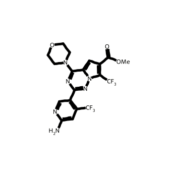 COC(=O)c1cc2c(N3CCOCC3)nc(-c3cnc(N)cc3C(F)(F)F)nn2c1C(F)(F)F